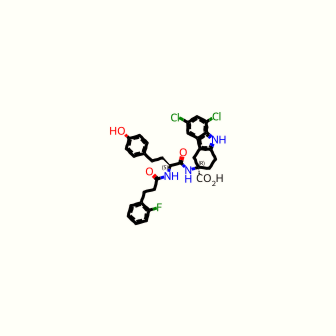 O=C(CCc1ccccc1F)N[C@@H](CCc1ccc(O)cc1)C(=O)N[C@]1(C(=O)O)CCc2[nH]c3c(Cl)cc(Cl)cc3c2C1